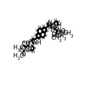 COC(=O)N[C@H](C(=O)N1CCC[C@H]1c1ncc(-c2cc3c4c(c2)CCc2cc(-c5cnc([C@@H]6CCCN6C(=O)[C@@H](NC(=O)OC)[C@H](C)OC)[nH]5)cc(c2-4)CC3)[nH]1)C(C)C